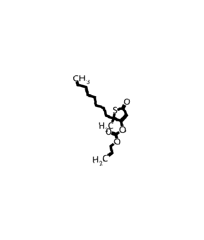 C=CCOC(=O)OC1=CC(=O)SC1(C)CCCCCCCC